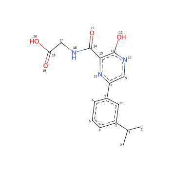 CC(C)c1cccc(-c2cnc(O)c(C(=O)NCC(=O)O)n2)c1